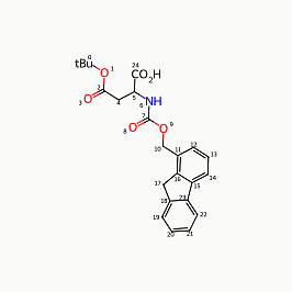 CC(C)(C)OC(=O)CC(NC(=O)OCc1cccc2c1Cc1ccccc1-2)C(=O)O